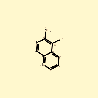 Nc1ncc2ncccc2c1I